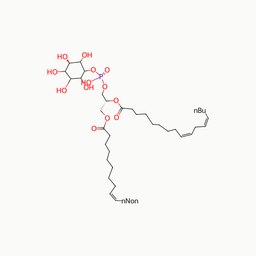 CCCC/C=C\C/C=C\CCCCCCCC(=O)O[C@H](COC(=O)CCCCCCC/C=C\CCCCCCCCC)COP(=O)(O)OC1C(O)C(O)C(O)[C@@H](O)C1O